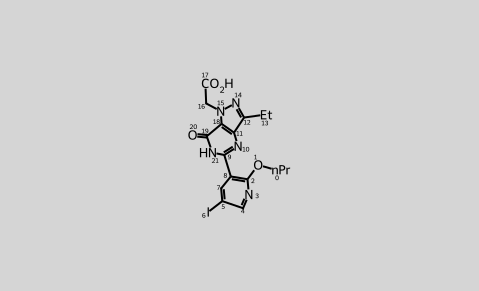 CCCOc1ncc(I)cc1-c1nc2c(CC)nn(CC(=O)O)c2c(=O)[nH]1